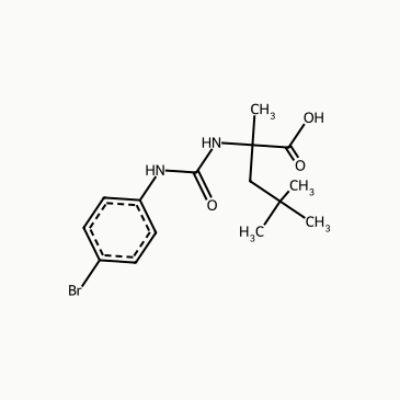 CC(C)(C)CC(C)(NC(=O)Nc1ccc(Br)cc1)C(=O)O